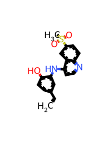 C=Cc1ccc(O)c(Nc2ccnc3ccc(S(C)(=O)=O)cc23)c1